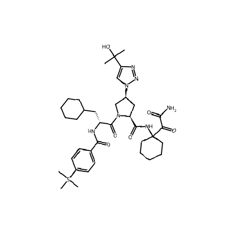 CC(C)(O)c1cn([C@H]2C[C@@H](C(=O)NC3(C(=O)C(N)=O)CCCCC3)N(C(=O)[C@@H](CC3CCCCC3)NC(=O)c3ccc(S(C)(C)C)cc3)C2)nn1